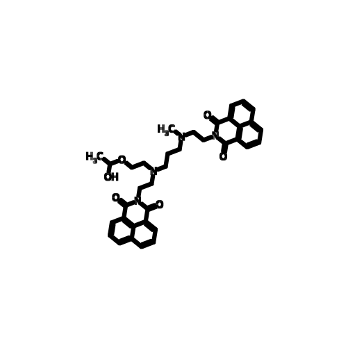 CC(O)OCCN(CCCN(C)CCN1C(=O)c2cccc3cccc(c23)C1=O)CCN1C(=O)c2cccc3cccc(c23)C1=O